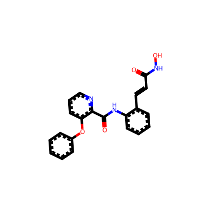 O=C(C=Cc1ccccc1NC(=O)c1ncccc1Oc1ccccc1)NO